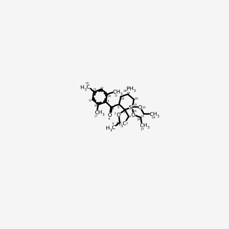 CCOC1(CC)C(C(=O)c2c(C)cc(C)cc2C)CCC[Si]1(OCC)OCC.P